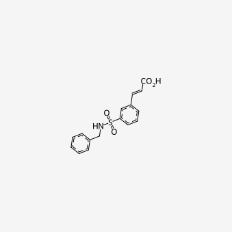 O=C(O)/C=C/c1cccc(S(=O)(=O)NCc2ccccc2)c1